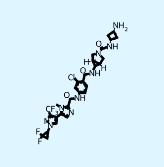 Cn1c(-c2cn(C3CC3(F)F)nc2C(F)(F)F)cnc1C(=O)Nc1ccc(C(=O)NC2[C@H]3CN(C(=O)N[C@H]4C[C@@H](N)C4)C[C@@H]23)c(Cl)c1